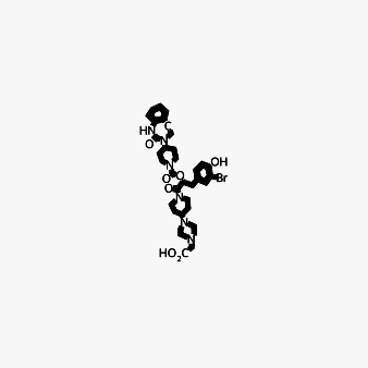 O=C(O)CN1CCN(C2CCN(C(=O)C(Cc3ccc(O)c(Br)c3)OC(=O)N3CCC(N4CCc5ccccc5NC4=O)CC3)CC2)CC1